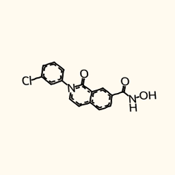 O=C(NO)c1ccc2ccn(-c3cccc(Cl)c3)c(=O)c2c1